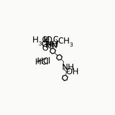 CC(C)CNc1cc(-c2ccc(CCNC[C@@H](O)c3ccccc3)cc2)ccc1C(=O)NS(C)(=O)=O.Cl.Cl